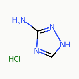 Cl.Nc1nc[nH]n1